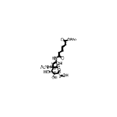 COC(=O)CCCCC(=O)NCC[C@]1(NC(C)=O)[C@@H](O)O[C@H](CO)[C@H](O)[C@@H]1O